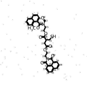 Cc1cccc2cccc(C(=O)N(C=O)CCOC(=O)C(CS)CC(=O)OCCN3C(=O)c4cccc5cccc(c45)C3=O)c12